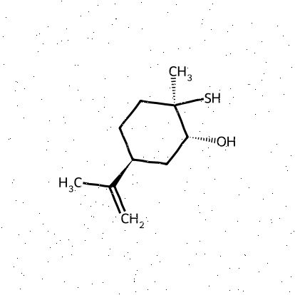 C=C(C)[C@H]1CC[C@@](C)(S)[C@H](O)C1